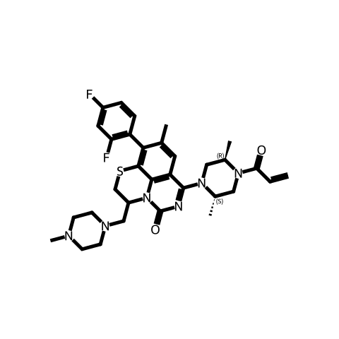 C=CC(=O)N1C[C@H](C)N(c2nc(=O)n3c4c(c(-c5ccc(F)cc5F)c(C)cc24)SCC3CN2CCN(C)CC2)C[C@H]1C